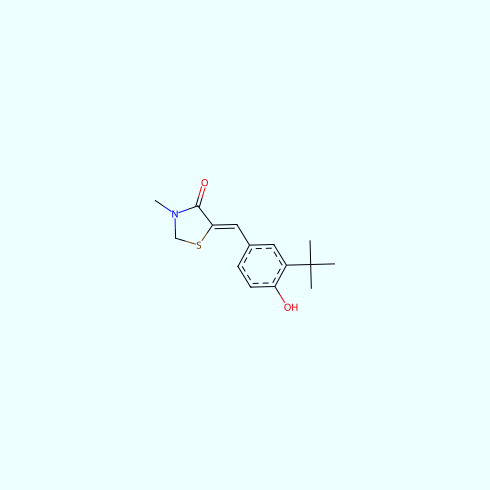 CN1CS/C(=C\c2ccc(O)c(C(C)(C)C)c2)C1=O